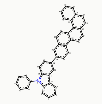 c1ccc(-n2c3ccccc3c3cc(-c4ccc5c(ccc6c5ccc5ccc7ccccc7c56)c4)ccc32)cc1